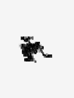 CCCCCCCCCCCCCCCC(=O)N[C@@H](C)C(=O)N[C@H](C(=O)N[C@@H](Cc1ccccc1)C(=O)N[C@@H](CCCNC(=N)N)C(=O)N[C@@H](CO)C(=O)N[C@@H](CO)C(=O)N[C@@H](CCCNC(=N)N)C(=O)N[C@@H](CCC(=O)O)C(C)=O)C(C)C